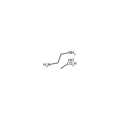 CC(=O)O.Cl.NCCN